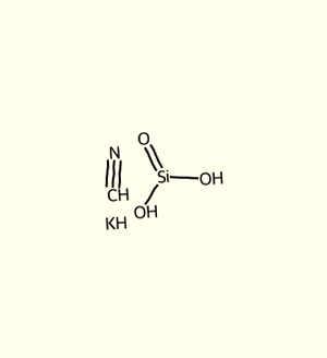 C#N.O=[Si](O)O.[KH]